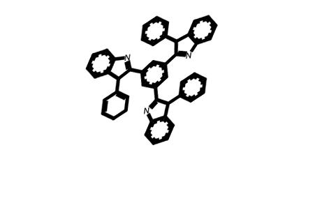 C1=CC(C2C(c3cc(C4=Nc5ccccc5C4c4ccccc4)cc(C4=Nc5ccccc5C4c4ccccc4)c3)=Nc3ccccc32)=CCC1